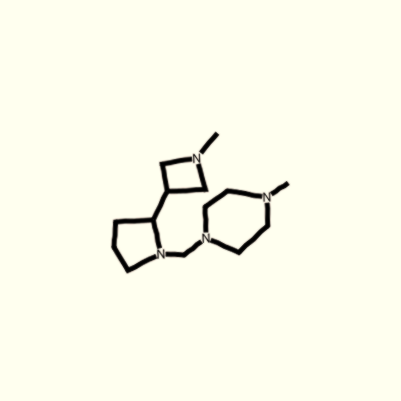 CN1CCN(CN2CCCC2C2CN(C)C2)CC1